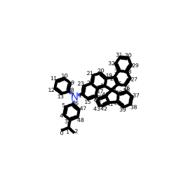 CC(C)c1ccc(N(c2ccccc2)c2ccc3c4c(ccc3c2)-c2c(ccc3ccccc23)C42c3ccccc3-c3ccccc32)cc1